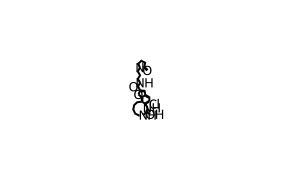 O=C(NCCCN1CCCC1=O)c1cc2cc(Cl)c3c(c2o1)CCCCCNC(O)N3